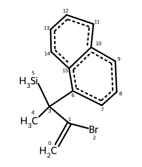 C=C(Br)C(C)([SiH3])c1cccc2ccccc12